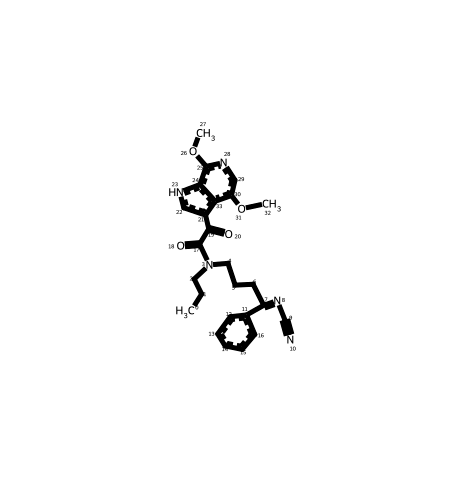 CCCN(CCC/C(=N/C#N)c1ccccc1)C(=O)C(=O)c1c[nH]c2c(OC)ncc(OC)c12